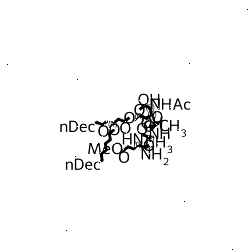 CCCCCCCCCCCCCCCC(=O)O[C@H](CCCCCCCCCCCCC)CC(=O)OC[C@H]1OC(O)[C@H](NC(C)=O)[C@H](OC(C)C(=O)N[C@@H](C)C(=O)N[C@H](CCC(=O)OC)C(N)=O)[C@@H]1O